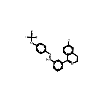 FC(F)(F)Oc1ccc(SNc2cccc(C3=NCCc4cc(Cl)ccc43)c2)cc1